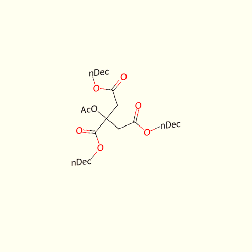 CCCCCCCCCCOC(=O)CC(CC(=O)OCCCCCCCCCC)(OC(C)=O)C(=O)OCCCCCCCCCC